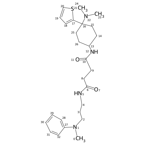 CN(CCCNC(=O)CCC(=O)NC1CCC(c2cccs2)(N(C)C)CC1)c1ccccc1